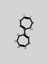 [CH]1C=CCC=C(C2=CCC=CCC2)C1